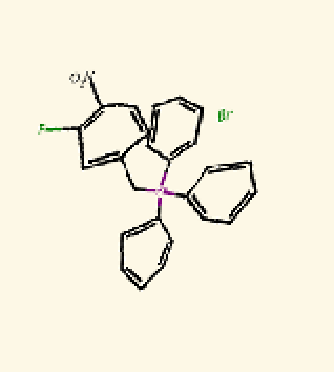 O=[N+]([O-])c1ccc(C[P+](c2ccccc2)(c2ccccc2)c2ccccc2)cc1F.[Br-]